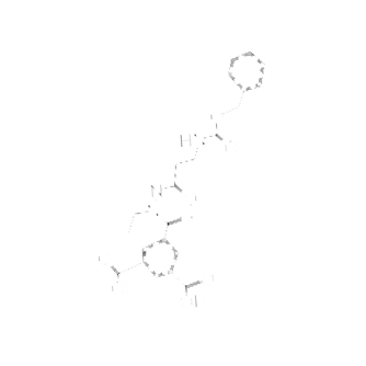 CCN(NC(=O)CCNC(=O)OCc1ccccc1)C(=O)c1cc(C(=O)O)cc(C(=O)O)c1